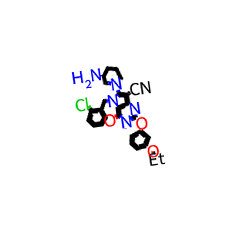 CCOc1cccc(Oc2nc3c(C#N)c(N4CCC[C@@H](N)C4)n(Cc4ccccc4Cl)c3c(=O)n2C)c1